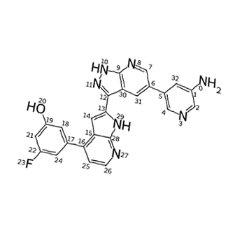 Nc1cncc(-c2cnc3[nH]nc(-c4cc5c(-c6cc(O)cc(F)c6)ccnc5[nH]4)c3c2)c1